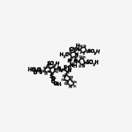 Cc1c(C#N)c(Nc2ccc(S(=O)(=O)O)cc2)nc(Nc2ccc(S(=O)(=O)O)cc2)c1/N=N/c1nc(-c2ccc3ccccc3c2)c(/N=N/c2cc(SOOO)c3cc(SOOO)cc(S(=O)(=O)O)c3c2)s1